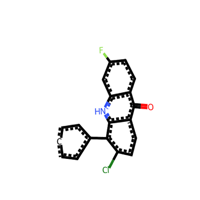 O=c1c2ccc(F)cc2[nH]c2c(-c3ccccc3)c(Cl)ccc12